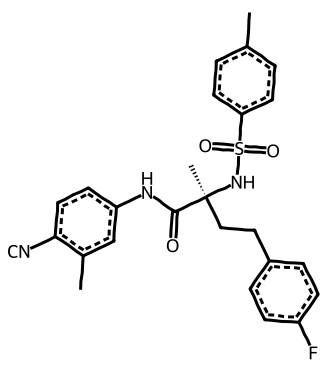 [C-]#[N+]c1ccc(NC(=O)[C@](C)(CCc2ccc(F)cc2)NS(=O)(=O)c2ccc(C)cc2)cc1C